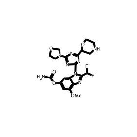 COc1cc(OC(N)=O)cc2c1nc(C(F)F)n2-c1nc(C2CNCCO2)nc(N2CCOC2)n1